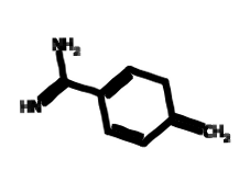 C=C1C=CC(C(=N)N)=CC1